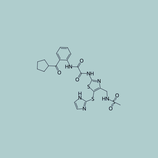 CS(=O)(=O)NCc1nc(NC(=O)C(=O)Nc2ccccc2C(=O)C2CCCC2)sc1Sc1ncc[nH]1